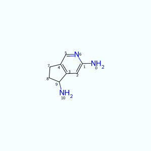 Nc1cc2c(cn1)CCC2N